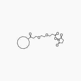 O=C(CCOCCOCCC(=O)C1CCCCCCCCCCC1)ON1C(=O)CCC1=O